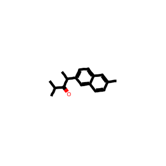 Cc1ccc2cc(C(C)C(=O)C(C)C)ccc2c1